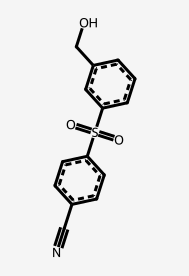 N#Cc1ccc(S(=O)(=O)c2cccc(CO)c2)cc1